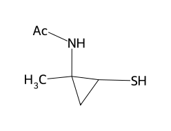 CC(=O)NC1(C)CC1S